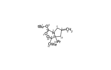 C=C1CN(C(=O)OC(C)(C)C)C(C(=O)OC)(C(C)C)C1